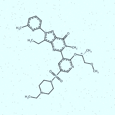 CCc1c2nc(-c3cc(S(=O)(=O)N4CCN(CC)CC4)cnc3O[C@H](C)COC)n(C)c(=O)c2nn1-c1cccc(C)n1